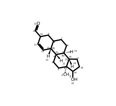 C[C@]12CC[C@H]3[C@@H](CCC4CC(C=O)C=C[C@H]43)[C@@H]1CCC2O